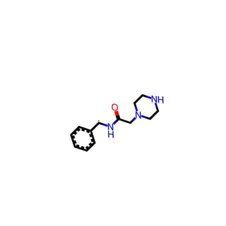 O=C(CN1CCNCC1)N[CH]c1ccccc1